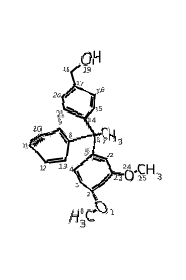 COc1ccc(C(C)(c2ccccc2)c2ccc(CO)cc2)cc1OC